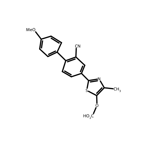 COc1ccc(-c2ccc(-c3nc(C)c(OC(=O)O)s3)cc2C#N)cc1